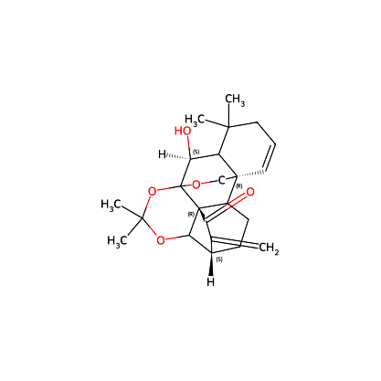 C=C1C(=O)[C@@]23C4OC(C)(C)OC25OC[C@]2(C=CCC(C)(C)C2[C@@H]5O)C3CC[C@@H]14